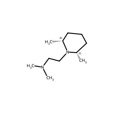 C[C@@H]1CCC[C@H](C)N1CCN(C)C